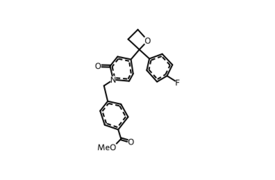 COC(=O)c1ccc(Cn2ccc(C3(c4ccc(F)cc4)CCO3)cc2=O)cc1